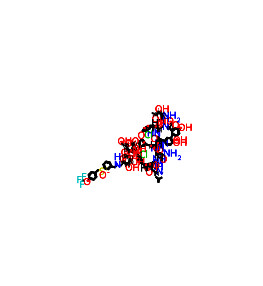 CN[C@H](CC(C)C)C(=O)N[C@H]1C(=O)N[C@@H](CC(N)=O)C(=O)N[C@H]2C(=O)N[C@H]3C(=O)N[C@H](C(=O)N[C@@H](C(=O)O)c4cc(O)cc(O)c4-c4cc3ccc4O)[C@H](OC3C[C@](C)(N)[C@@H](O)[C@H](C)O3)c3ccc(c(Cl)c3)Oc3cc2cc(c3O[C@@H]2O[C@H](CO)[C@@H](O[C@@H]3O[C@H](CNCc4cccc([S+]([O-])Cc5ccc(OC(F)(F)F)cc5)c4)[C@H](O)[C@H](O)[C@H]3O)[C@H](O)[C@H]2O)Oc2ccc(cc2Cl)[C@H]1O